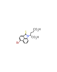 O=C(O)CCC(C(=O)O)N1C(=S)c2ccc(Br)c3cccc1c23